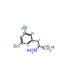 NC(Cc1cc(Br)cc(Br)c1)C(=O)O